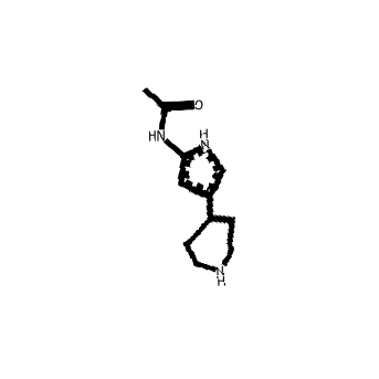 CC(=O)Nc1cc(C2CCNCC2)c[nH]1